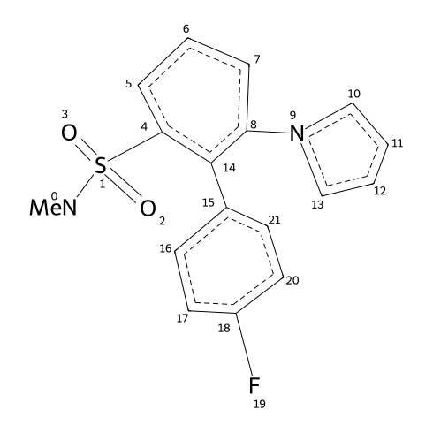 CNS(=O)(=O)c1cccc(-n2cccc2)c1-c1ccc(F)cc1